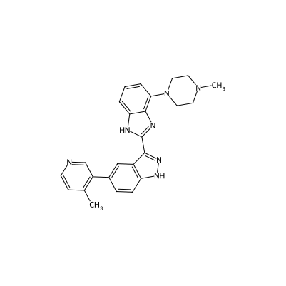 Cc1ccncc1-c1ccc2[nH]nc(-c3nc4c(N5CCN(C)CC5)cccc4[nH]3)c2c1